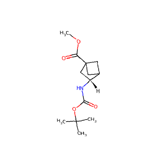 COC(=O)C12CC(C1)[C@H](NC(=O)OC(C)(C)C)C2